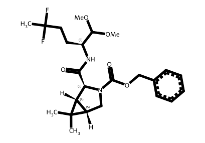 COC(OC)[C@H](CCC(C)(F)F)NC(=O)[C@@H]1[C@@H]2[C@H](CN1C(=O)OCc1ccccc1)C2(C)C